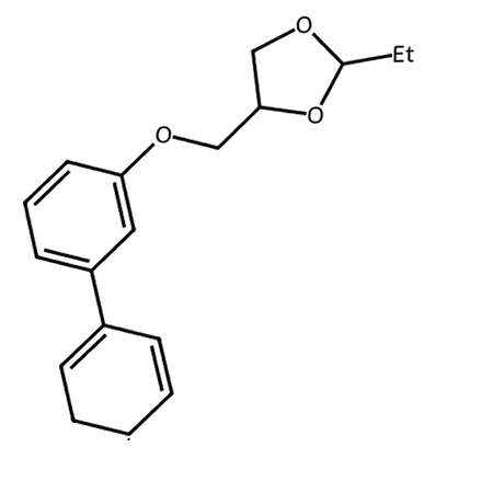 CCC1OCC(COc2cccc(C3=CC[CH]C=C3)c2)O1